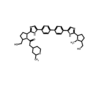 CC1CC(CC(=O)N2C(CO)CCC2c2ncc(-c3ccc(-c4ccc(-c5cnc(C6CCC(CO)N6C)[nH]5)cc4)cc3)[nH]2)CCO1